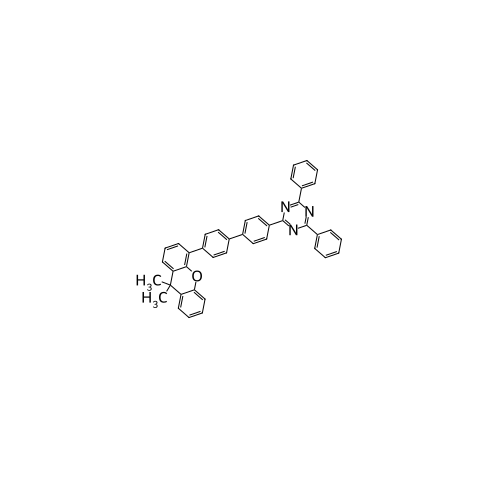 CC1(C)c2ccccc2Oc2c(-c3ccc(-c4ccc(-c5nc(-c6ccccc6)nc(-c6ccccc6)n5)cc4)cc3)cccc21